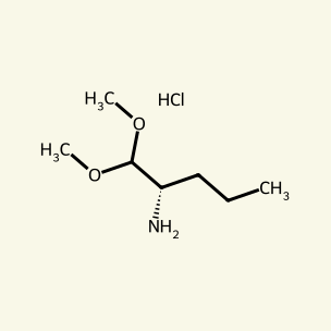 CCC[C@H](N)C(OC)OC.Cl